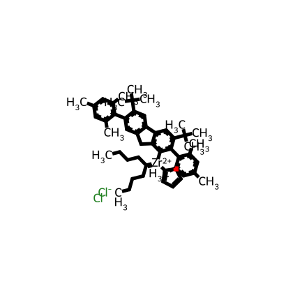 CCCC[C](CCCC)=[Zr+2]([C]1=CC=CC1)[c]1c2c(cc(C(C)(C)C)c1-c1c(C)cc(C)cc1C)-c1cc(C(C)(C)C)c(-c3c(C)cc(C)cc3C)cc1C2.[Cl-].[Cl-]